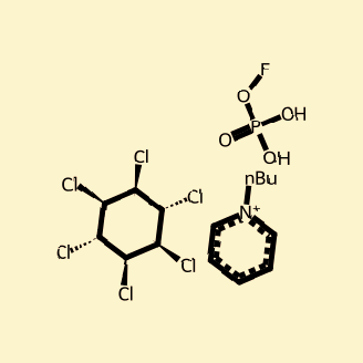 CCCC[n+]1ccccc1.Cl[C@H]1[C@H](Cl)[C@@H](Cl)[C@@H](Cl)[C@H](Cl)[C@H]1Cl.O=P(O)(O)OF